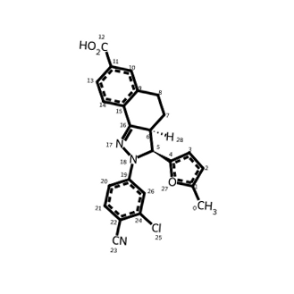 Cc1ccc([C@@H]2[C@@H]3CCc4cc(C(=O)O)ccc4C3=NN2c2ccc(C#N)c(Cl)c2)o1